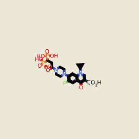 O=C(O)c1cn(C2CC2)c2cc(N3CCN(C(=O)CC(P(=O)(O)O)P(=O)(O)O)CC3)c(F)cc2c1=O